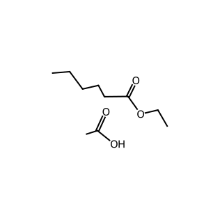 CC(=O)O.CCCCCC(=O)OCC